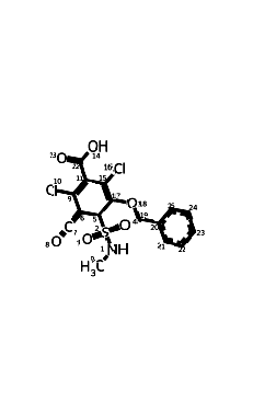 CNS(=O)(=O)C1C(=C=O)C(Cl)=C(C(=O)O)C(Cl)=C1OCc1ccccc1